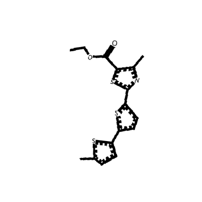 CCOC(=O)c1sc(-c2ccc(-c3ccc(C)s3)s2)nc1C